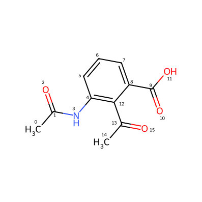 CC(=O)Nc1cccc(C(=O)O)c1C(C)=O